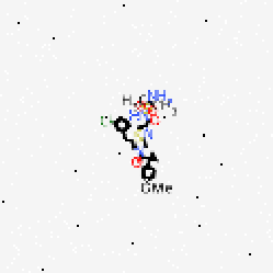 COc1ccc(C2(C(=O)N(CCCc3cccc(Cl)c3)Cc3nc(C(=O)NS(=O)(=O)C(C)(C)N)cs3)CC2)cc1